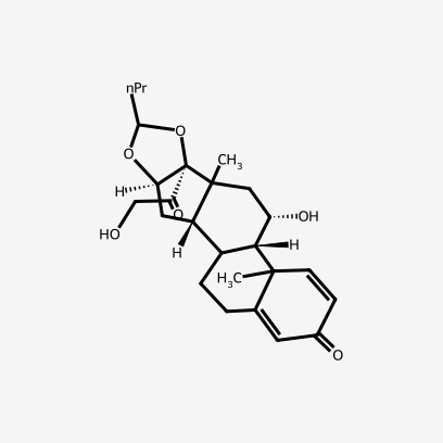 CCCC1O[C@@H]2C[C@H]3C4CCC5=CC(=O)C=CC5(C)[C@H]4[C@@H](O)CC3(C)[C@]2(C(=O)CO)O1